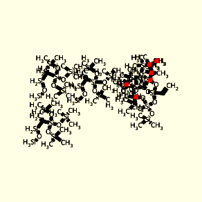 C=C([SiH2]O[SiH3])[Si](O[Si](C)(C)C)(O[Si](C)(C)C)O[Si](C)(C)C.C=C([SiH2]O[SiH3])[Si](O[Si](C)(C)C)(O[Si](C)(C)C)O[Si](C)(C)C.C=C([SiH2]O[SiH3])[Si](O[Si](C)(C)C)(O[Si](C)(C)C)O[Si](C)(C)C.C=C[Si](O[Si](O[Si](C)(C)C)(O[Si](C)(C)C)O[Si](C)(C)C)(O[Si](O[Si](C)(C)C)(O[Si](C)(C)C)O[Si](C)(C)C)O[Si](O[Si](C)(C)C)(O[Si](C)(C)C)O[Si](C)(C)C